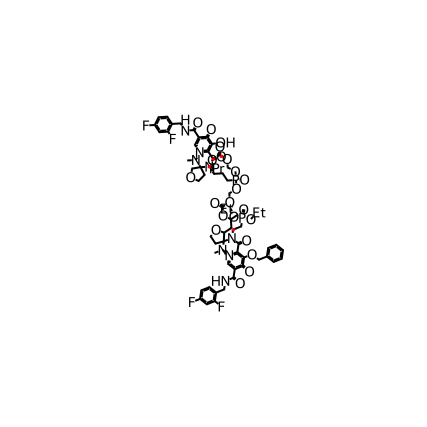 CCOP(=O)(CCN1C(=O)c2c(OCc3ccccc3)c(=O)c(C(=O)NCc3ccc(F)cc3F)cn2N(C)C12CCOC2CC(C)OC(=O)OCOP(=O)(CCCN1C(=O)c2c(O)c(=O)c(C(=O)NCc3ccc(F)cc3F)cn2N(C)C12CCOC2)OCOC(=O)OC(C)C)OCC